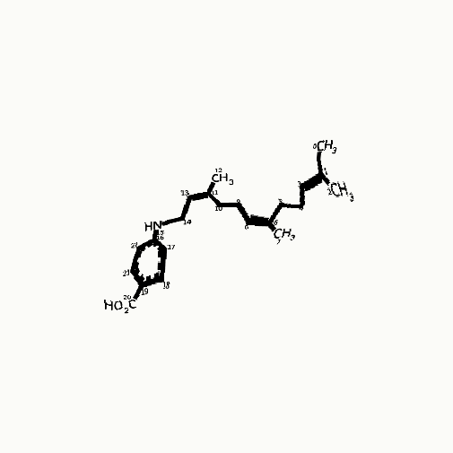 CC(C)=CCCC(C)=CCCC(C)=CCNc1ccc(C(=O)O)cc1